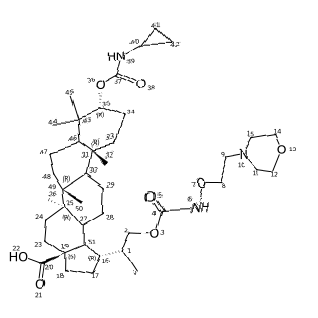 CC(COC(=O)NOCCN1CCOCC1)[C@@H]1CC[C@]2(C(=O)O)CC[C@]3(C)C(CCC4[C@@]5(C)CC[C@@H](OC(=O)NC6CC6)C(C)(C)C5CC[C@]43C)C12